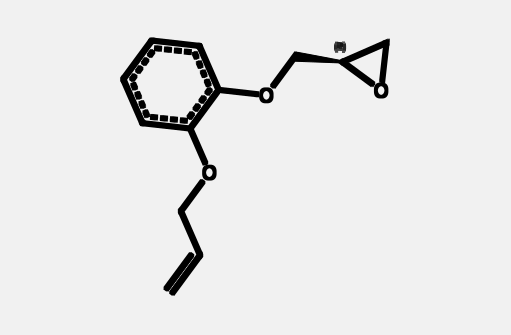 C=CCOc1ccccc1OC[C@H]1CO1